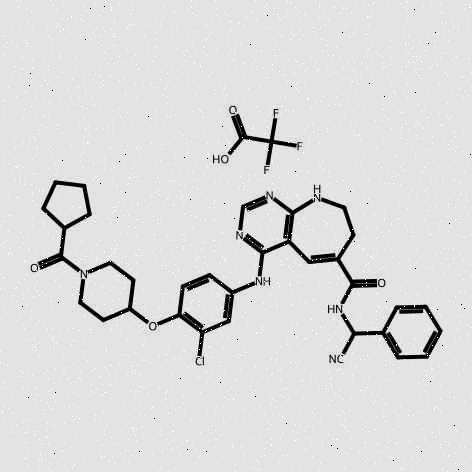 N#CC(NC(=O)C1=Cc2c(ncnc2Nc2ccc(OC3CCN(C(=O)C4CCCC4)CC3)c(Cl)c2)NCC1)c1ccccc1.O=C(O)C(F)(F)F